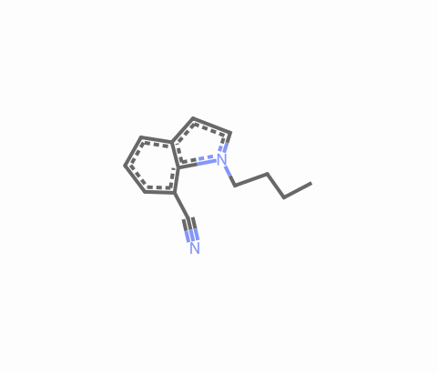 CCCCn1ccc2cccc(C#N)c21